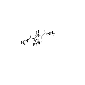 NCCNCCN.[Cl-].[Cl][Pt+]